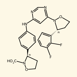 O=C(O)N1OCC[C@@H]1c1ccc(Nc2cc(N3OCC[C@@H]3c3cccc(F)c3F)ncn2)cc1